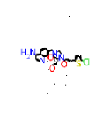 COCC[C@H]1C(=O)N(Cc2ccc3c(N)ccnc3c2)CCN1C(=O)C=Cc1ccc(Cl)s1